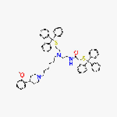 COc1ccccc1C1CCN(CCCCCCN(CCNC(=O)CSC(c2ccccc2)(c2ccccc2)c2ccccc2)CCSC(c2ccccc2)(c2ccccc2)c2ccccc2)CC1